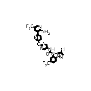 C=C(/C=C\C(=C/CC)Oc1ncc(NC(=O)Nc2cc(C(F)(F)F)ccc2-n2cc(Cl)cn2)cn1)c1cc(C(F)(F)F)cnc1N